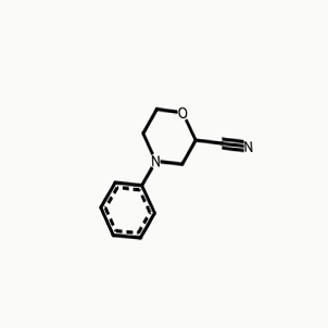 N#CC1CN(c2ccccc2)CCO1